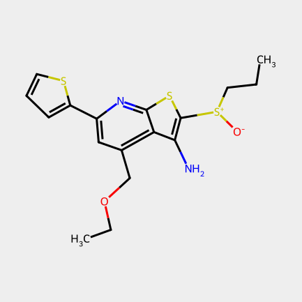 CCC[S+]([O-])c1sc2nc(-c3cccs3)cc(COCC)c2c1N